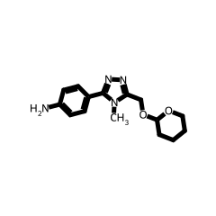 Cn1c(COC2CCCCO2)nnc1-c1ccc(N)cc1